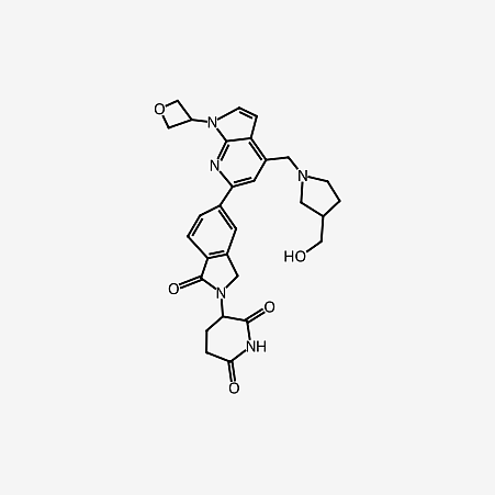 O=C1CCC(N2Cc3cc(-c4cc(CN5CCC(CO)C5)c5ccn(C6COC6)c5n4)ccc3C2=O)C(=O)N1